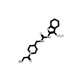 CC(C)(C)CC(=O)N1CCC(CNC(=O)Nc2sc3c(c2C(=O)O)CCCC3)CC1